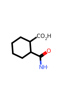 [NH]C(=O)C1CCCCC1C(=O)O